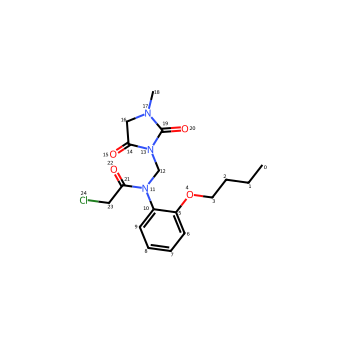 CCCCOc1ccccc1N(CN1C(=O)CN(C)C1=O)C(=O)CCl